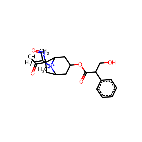 CC(=O)C1(N=O)CC2CC(OC(=O)C(CO)c3ccccc3)CC1[N+]2(C)C(C)C